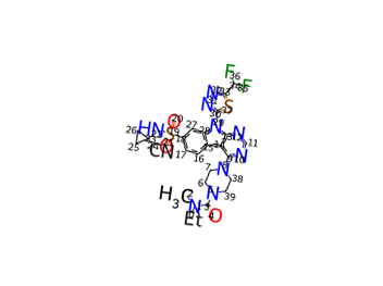 CCN(C)C(=O)N1CCN(c2ncnc3c2c2ccc(S(=O)(=O)NC4(C#N)CC4)cc2n3-c2nnc(C(F)F)s2)CC1